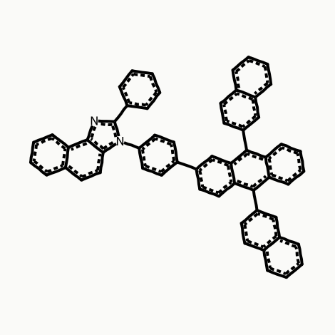 c1ccc(-c2nc3c4ccccc4ccc3n2-c2ccc(-c3ccc4c(-c5ccc6ccccc6c5)c5ccccc5c(-c5ccc6ccccc6c5)c4c3)cc2)cc1